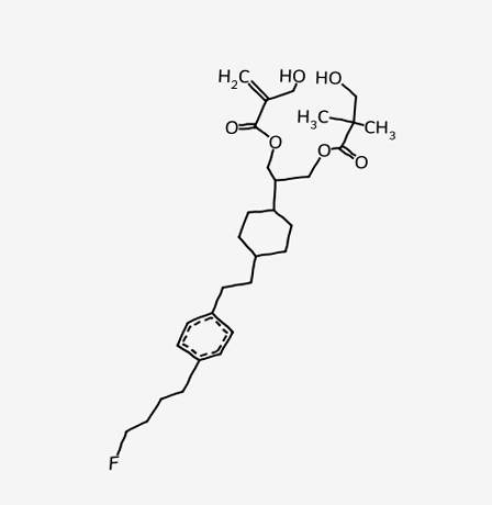 C=C(CO)C(=O)OCC(COC(=O)C(C)(C)CO)C1CCC(CCc2ccc(CCCCF)cc2)CC1